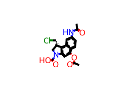 CC(=O)Nc1ccc2c(OC(C)=O)cc3c(c2c1)[C@@H](CCl)CN3C(=O)O